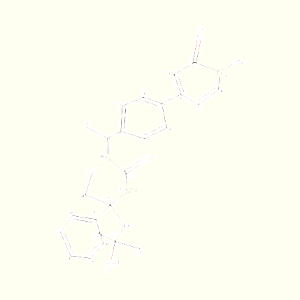 CC(c1ccc(-c2ccn(C)c(=O)c2)cc1)N1CCC(CC(C)(C)O)(c2ccccc2)NC1=O